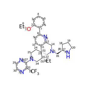 CCOc1ccccc1-c1ccc2c(n1)CN(C[C@H]1CCCN1)C[C@]21CCN(c2nccnc2C(F)(F)F)C[C@H]1CC